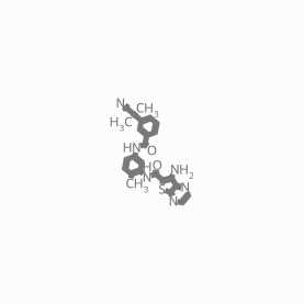 Cc1ccc(NC(=O)c2cccc(C(C)(C)C#N)c2)cc1NC(=O)c1sc2nccnc2c1N